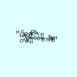 CCCC(=O)NC(c1ccc(N(CC)CC)cc1)c1cc(Cl)c2cccnc2c1OCC(=O)NCCOCCOCCNC(=O)CCCCC1SCC2NC(=O)NC21